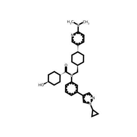 CN(C)c1ccc([C@H]2CC[C@H](CN(c3cccc(-c4cnn(C5CC5)c4)c3)C(=O)[C@H]3CC[C@H](O)CC3)CC2)cn1